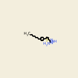 CCCCCCCCC1=CCC(c2ccc(-c3n[nH]nc3N)s2)C=C1